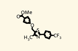 COC(=O)c1ccc(OCc2sc(-c3ccc(C(F)(F)F)cc3)nc2C)cc1